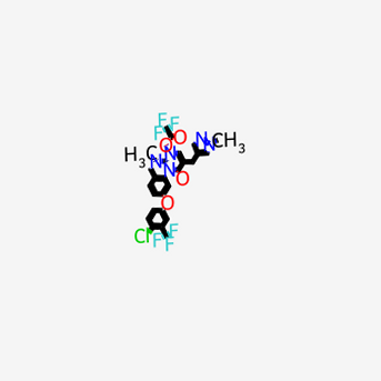 CN(Cc1ccc(Oc2ccc(Cl)c(C(F)(F)F)c2)cc1)c1nc(=O)c(Cc2cnn(C)c2)cn1OC(=O)C(F)(F)F